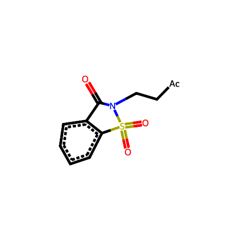 CC(=O)CCN1C(=O)c2ccccc2S1(=O)=O